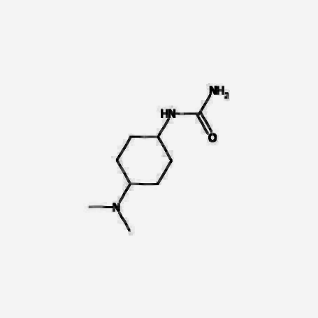 CN(C)C1CCC(NC(N)=O)CC1